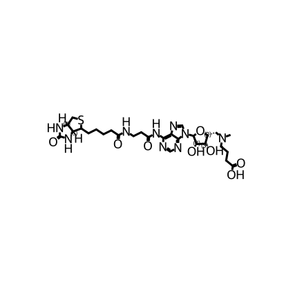 CN(CCCC(=O)O)C[C@H]1OC(n2cnc3c(NC(=O)CCNC(=O)CCCCC4SC[C@@H]5NC(=O)N[C@H]45)ncnc32)[C@H](O)[C@@H]1O